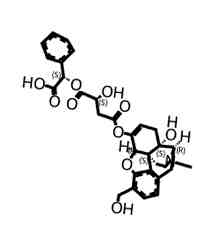 CN1CC[C@]23c4c5ccc(CO)c4O[C@H]2C(OC(=O)C[C@H](O)C(=O)O[C@H](C(=O)O)c2ccccc2)=CC[C@@]3(O)[C@H]1C5